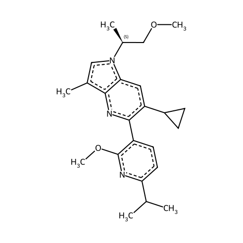 COC[C@H](C)n1cc(C)c2nc(-c3ccc(C(C)C)nc3OC)c(C3CC3)cc21